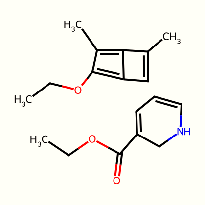 CCOC(=O)C1=CC=CNC1.CCOc1c2cc(C)c-2c1C